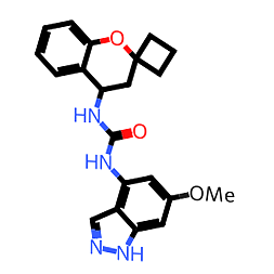 COc1cc(NC(=O)NC2CC3(CCC3)Oc3ccccc32)c2cn[nH]c2c1